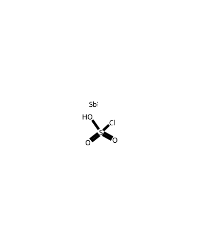 O=S(=O)(O)Cl.[Sb]